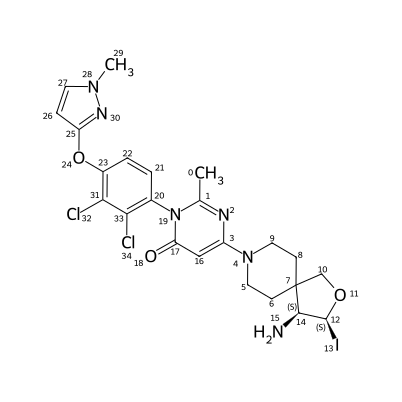 Cc1nc(N2CCC3(CC2)CO[C@@H](I)[C@H]3N)cc(=O)n1-c1ccc(Oc2ccn(C)n2)c(Cl)c1Cl